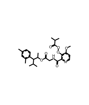 COc1ccnc(C(=O)NCC(=O)OC(C)C(c2ccc(C)cc2C)C(C)C)c1OOC(=O)C(C)C